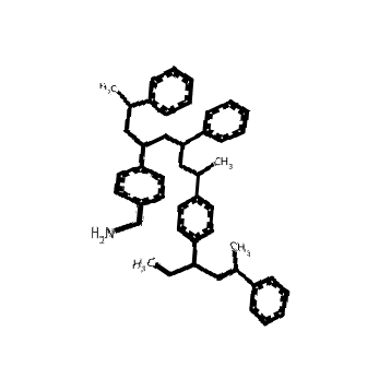 CCC(CC(C)c1ccccc1)c1ccc(C(C)CC(CC(CC(C)c2ccccc2)c2ccc(CN)cc2)c2ccccc2)cc1